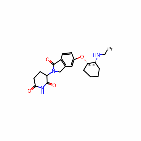 CC(C)CN[C@@H]1CCCC[C@@H]1Oc1ccc2c(c1)CN(C1CCC(=O)NC1=O)C2=O